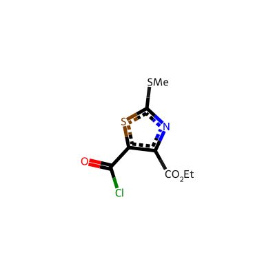 CCOC(=O)c1nc(SC)sc1C(=O)Cl